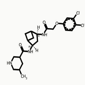 CC1CNCC(C(=O)N[C@@H]2C[C@H](NC(=O)COc3ccc(Cl)c(Cl)c3)C3CC2C3)C1